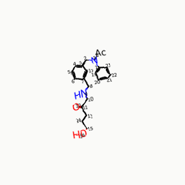 CC(=O)N(Cc1cccc(CNCC(=O)CCCO)c1)c1ccccc1